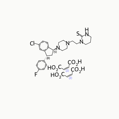 Fc1ccc([C@H]2C[C@H](N3CCN(CCN4CCCNC4=S)CC3)c3ccc(Cl)cc32)cc1.O=C(O)/C=C\C(=O)O.O=C(O)/C=C\C(=O)O